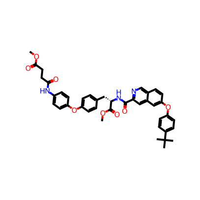 COC(=O)CCC(=O)Nc1ccc(Oc2ccc(C[C@H](NC(=O)c3cc4cc(Oc5ccc(C(C)(C)C)cc5)ccc4cn3)C(=O)OC)cc2)cc1